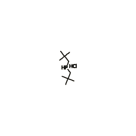 CC(C)(C)CPCC(C)(C)C.Cl